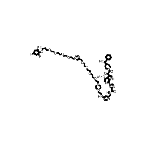 COc1cnc(-n2cnc(C(=O)NCc3cc(NCCN4CCN(CCOCCOCCOCCOCc5cn(CCOCCOCCOCCOCCC(=O)Oc6c(F)cc(F)cc6F)nn5)CC4)ncn3)n2)c2[nH]cc(C(=O)C(=O)N3CCC(=C(C#N)c4ccccc4)CC3)c12